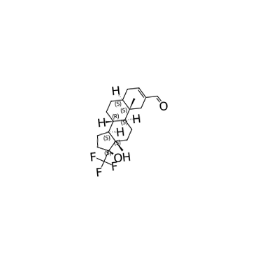 C[C@]12CC(C=O)=CC[C@@H]1CC[C@@H]1[C@@H]2CC[C@@]2(C)[C@H]1CC[C@@]2(O)C(F)(F)F